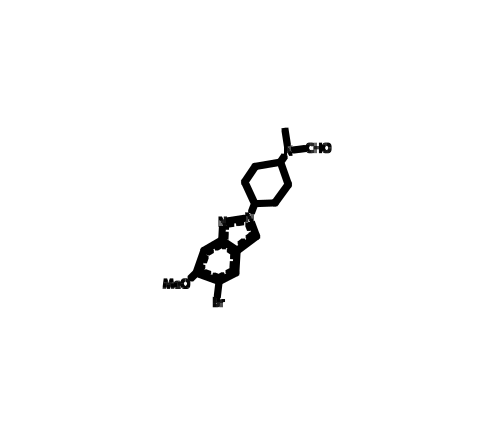 COc1cc2nn(C3CCC(N(C)C=O)CC3)cc2cc1Br